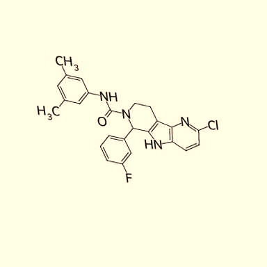 Cc1cc(C)cc(NC(=O)N2CCc3c([nH]c4ccc(Cl)nc34)C2c2cccc(F)c2)c1